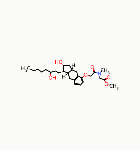 CCCCC[C@H](O)CC[C@@H]1[C@H]2Cc3cccc(OCC(=O)N(C)CC(=O)OC)c3C[C@H]2C[C@H]1O